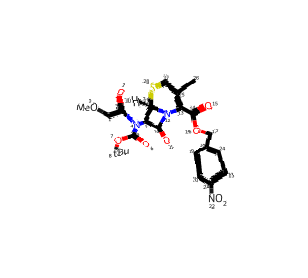 COCC(=O)N(C(=O)OC(C)(C)C)[C@@H]1C(=O)N2C(C(=O)OCc3ccc([N+](=O)[O-])cc3)=C(C)CS[C@@H]12